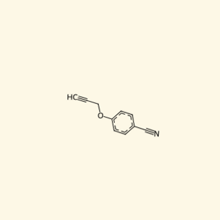 C#CCOc1ccc(C#N)cc1